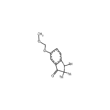 [2H]C1c2ccc(OCOC)cc2C(=O)C1([2H])[2H]